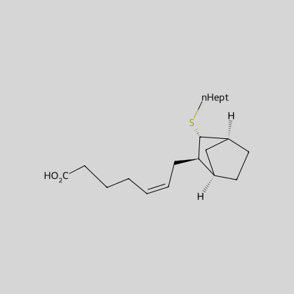 CCCCCCCS[C@@H]1[C@H]2CC[C@H](C2)[C@H]1C/C=C\CCCC(=O)O